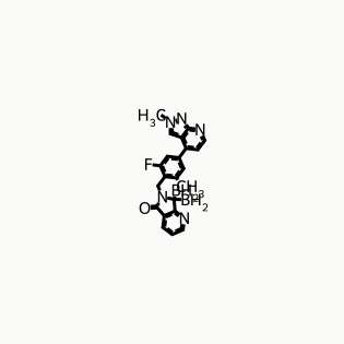 BC1(B)c2ncccc2C(=O)N1Cc1c(C)cc(-c2ccnc3nn(C)cc23)cc1F